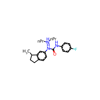 CC1CCc2ccc(NC(=O)Nc3ccc(F)cc3)cc21.CCCNCCC